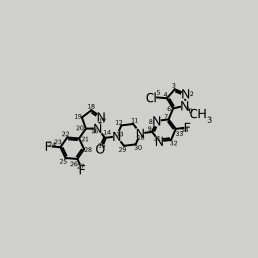 Cn1ncc(Cl)c1-c1nc(N2CCN(C(=O)N3N=CCC3c3cc(F)cc(F)c3)CC2)ncc1F